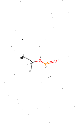 CCCC(C)OP=O